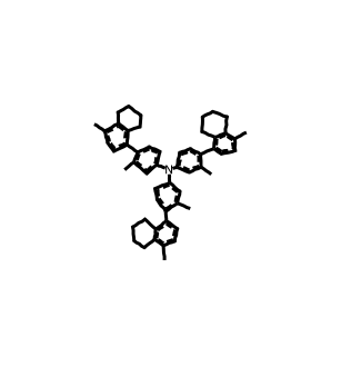 Cc1cc(N(c2ccc(-c3ccc(C)c4c3CCCC4)c(C)c2)c2ccc(-c3ccc(C)c4c3CCCC4)c(C)c2)ccc1-c1ccc(C)c2c1CCCC2